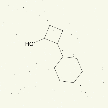 OC1CCC1C1CCCCC1